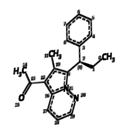 CC[C@H](c1ccccc1)c1c(C)c(C(C)=O)c2cccnn12